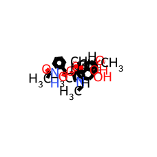 CCN1C[C@@](C)(OC(=O)c2ccccc2NC(C)=O)[C@H]2CC3[C@H]1C2([C@H](C)OC)[C@@H]1C[C@H]2C[C@]1(O)[C@]3(O)C[C@@H]2OC